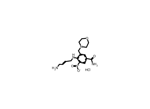 Cl.NC/C=C/CNc1c(CN2CCOCC2)cc(C(N)=O)cc1[N+](=O)[O-]